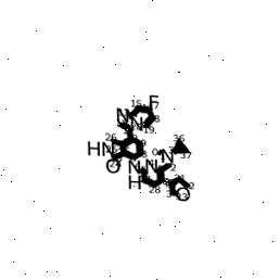 CN(Cc1nc(Nc2ccc(-c3cnc4cc(F)ccn34)c3c2C(=O)NC3)ccc1[C@@H]1CCOC1)C1CC1